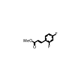 COC(=O)/C=C/c1ccc(F)cc1F